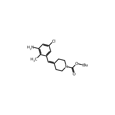 Cc1c(N)cc(Cl)cc1C=C1CCN(C(=O)OC(C)(C)C)CC1